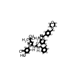 CC(C)(C)c1cc(NC(=O)NCc2ccccc2Sc2ccc3nnc(-c4ccc(CN5CCOCC5)cc4)n3c2)n(-c2ccc(O)c(Cl)c2)n1